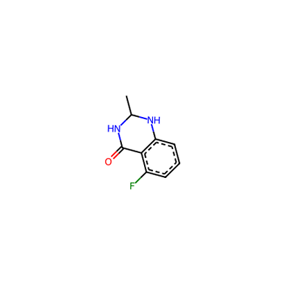 CC1NC(=O)c2c(F)cccc2N1